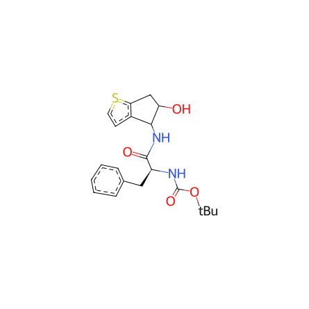 CC(C)(C)OC(=O)N[C@@H](Cc1ccccc1)C(=O)NC1c2ccsc2CC1O